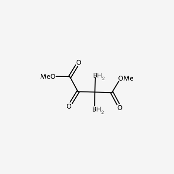 BC(B)(C(=O)OC)C(=O)C(=O)OC